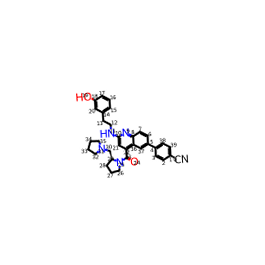 N#Cc1ccc(-c2ccc3nc(NCCc4cccc(O)c4)cc(C(=O)N4CCC[C@H]4CN4CCCC4)c3c2)cc1